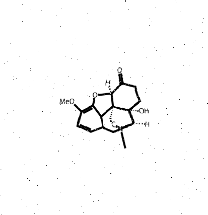 COC1=C2O[C@H]3C(=O)CC[C@@]4(O)[C@H]5CC(C=C1)C2[C@@]34CCN5C